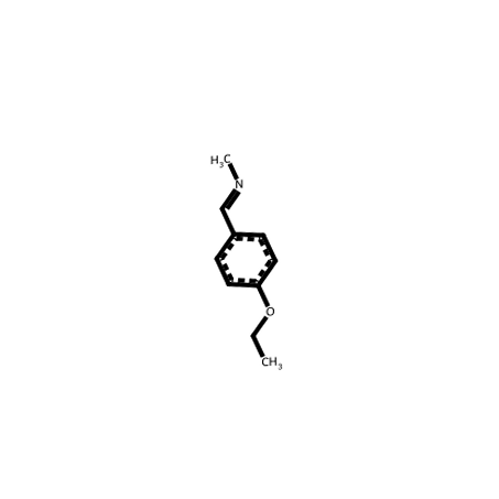 CCOc1ccc(/C=N/C)cc1